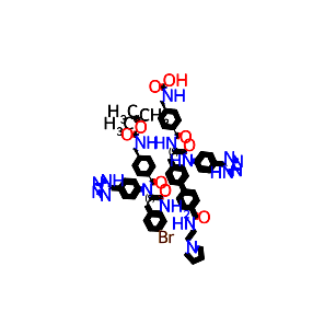 CC(C)(C)OC(=O)NC[C@H]1CC[C@H](C(=O)N(c2ccc(-c3nnn[nH]3)cc2)[C@@H](Cc2ccc(Br)cc2)C(N)=O)CC1.O=C(O)NC[C@H]1CC[C@H](C(=O)N[C@@H](Cc2ccc(-c3ccc(C(=O)NCCN4CCCC4)cc3)cc2)C(=O)Nc2ccc(-c3nnn[nH]3)cc2)CC1